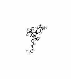 CCCCOC(=O)n1nc(C(F)(F)F)c2c1CNCC2